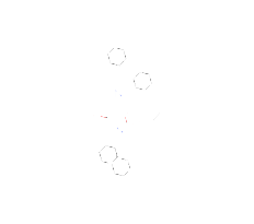 C=CCOC(=O)N[C@@H](Cc1ccc2ccccc2c1)C(=O)CCNCC(c1ccccc1)c1ccccc1